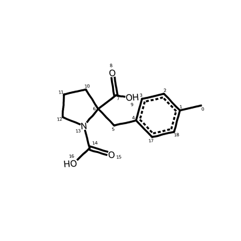 Cc1ccc(CC2(C(=O)O)CCCN2C(=O)O)cc1